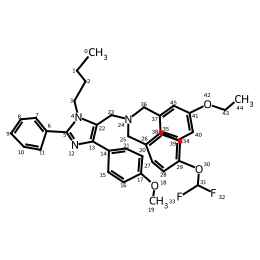 CCCCn1c(-c2ccccc2)nc(-c2ccc(OC)cc2)c1CN(Cc1ccc(OC(F)F)cc1)Cc1cccc(OCC)c1